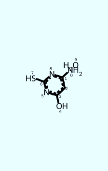 Nc1cc(O)nc(S)n1.O